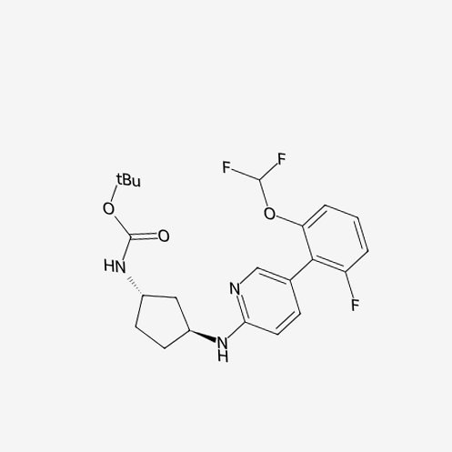 CC(C)(C)OC(=O)N[C@H]1CC[C@H](Nc2ccc(-c3c(F)cccc3OC(F)F)cn2)C1